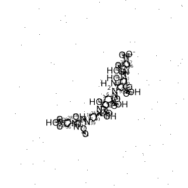 Nc1c(N=Nc2ccc3c(O)c(N=Nc4ccc(N=Nc5c(OC=O)nn(-c6ccc(S(=O)(=O)O)cc6)c5O)cc4)c(S(=O)(=O)O)cc3c2S(=O)(=O)O)cc(S(=O)(=O)O)c2ccc(N=Nc3ccc([N+](=O)[O-])cc3S(=O)(=O)O)c(O)c12